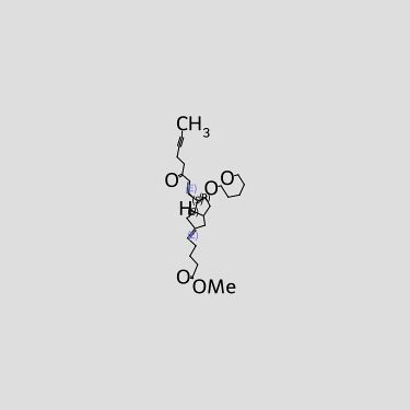 CC#CCCC(=O)/C=C/[C@H]1[C@H](OC2CCCCO2)CC2C/C(=C\CCCC(=O)OC)C[C@@H]21